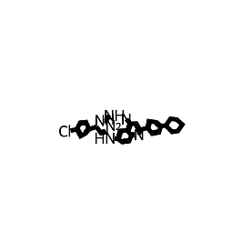 Nc1nc(Nc2ccc3nc(-c4ccc(C5CCCCC5)cc4)cc(N)c3c2)cc(-c2ccc(Cl)cc2)n1